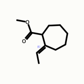 C/C=C1\CCCCCC1C(=O)OC